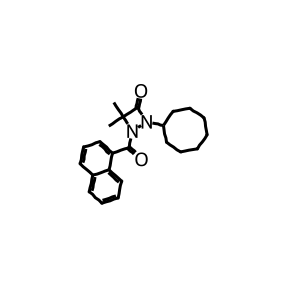 CC1(C)C(=O)N(C2CCCCCCC2)N1C(=O)c1cccc2ccccc12